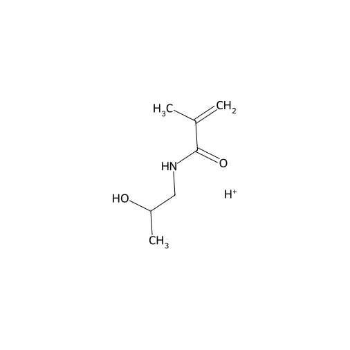 C=C(C)C(=O)NCC(C)O.[H+]